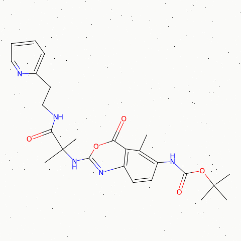 Cc1c(NC(=O)OC(C)(C)C)ccc2nc(NC(C)(C)C(=O)NCCc3ccccn3)oc(=O)c12